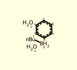 BCCCC.O.O.c1ccccc1